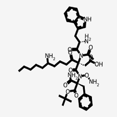 CCCCCC(N)CCCC(=O)[C@](CC(=O)O)(C(=O)N(ON)[C@@](Cc1ccccc1)(C(N)=O)C(=O)OC(C)(C)C)N(C(C)=O)C(=O)[C@@H](N)Cc1c[nH]c2ccccc12